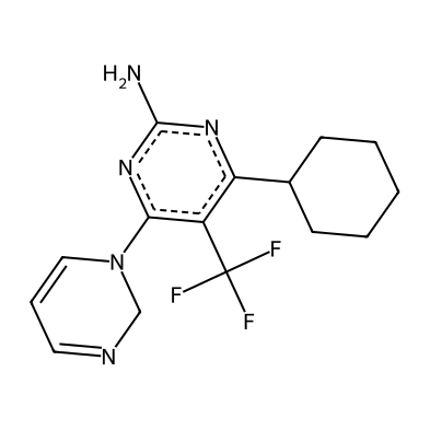 Nc1nc(C2CCCCC2)c(C(F)(F)F)c(N2C=CC=NC2)n1